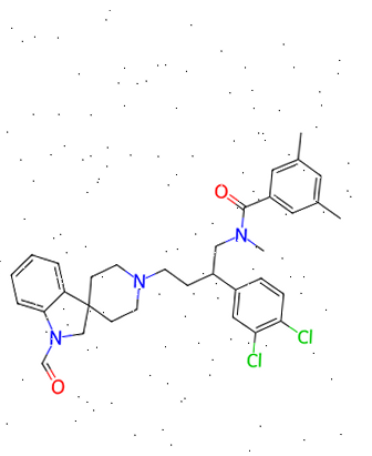 Cc1cc(C)cc(C(=O)N(C)CC(CCN2CCC3(CC2)CN(C=O)c2ccccc23)c2ccc(Cl)c(Cl)c2)c1